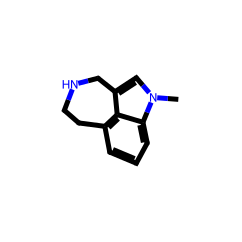 Cn1cc2c3c(cccc31)CCNC2